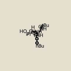 CCCCc1ccc(-c2ccc(C(=O)N[C@@H](CCCCNC(=O)OC(C)(C)C)C(=O)N[C@@H](C)C(=O)N[C@@H](CC(C)C)C(=O)O)cc2)cc1